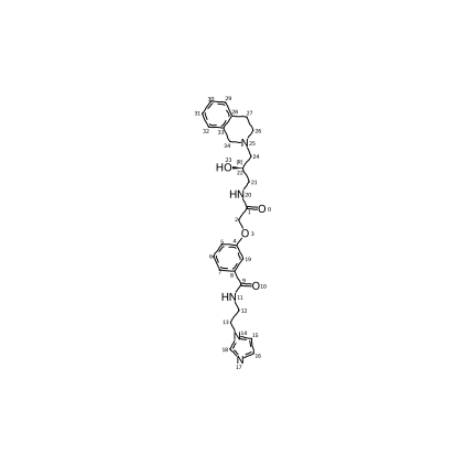 O=C(COc1cccc(C(=O)NCCn2ccnc2)c1)NC[C@@H](O)CN1CCc2ccccc2C1